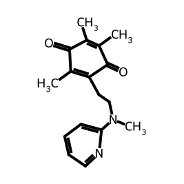 CC1=C(C)C(=O)C(CCN(C)c2ccccn2)=C(C)C1=O